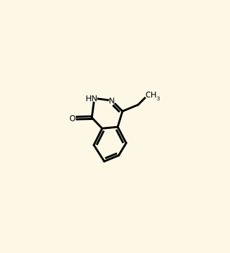 CCc1n[nH]c(=O)c2ccccc12